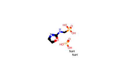 O=P(O)(O)CNc1ncco1.O=[PH](O)O.[NaH].[NaH]